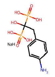 Nc1ccc(CC(O)(P(=O)(O)O)P(=O)(O)O)cc1.[NaH]